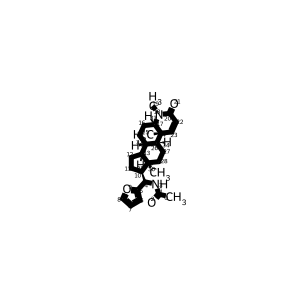 CC(=O)NC(c1ccco1)[C@H]1CC[C@H]2[C@@H]3CC[C@H]4N(C)C(=O)C=C[C@]4(C)[C@H]3CC[C@]12C